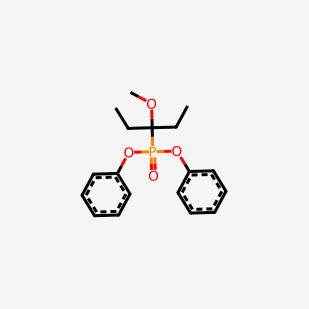 CCC(CC)(OC)P(=O)(Oc1ccccc1)Oc1ccccc1